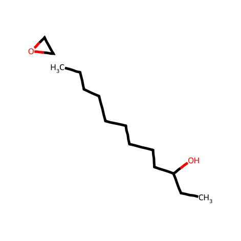 C1CO1.CCCCCCCCCC(O)CC